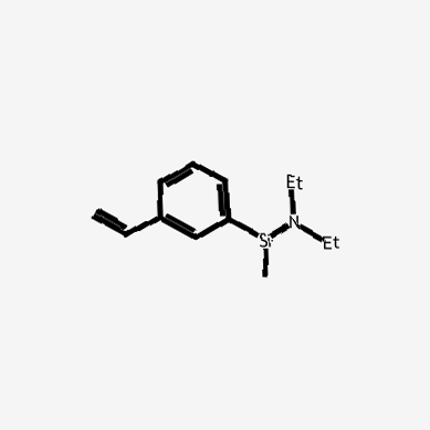 C=Cc1cccc([Si](C)N(CC)CC)c1